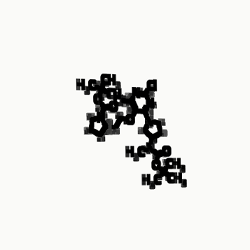 CN(C(=O)OC(C)(C)C)[C@@H]1CCN(c2nc(Cl)nc(Cl)c2OCC[C@@H]2CCCN2C(=O)OC(C)(C)C)C1